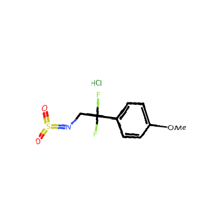 COc1ccc(C(F)(F)CN=S(=O)=O)cc1.Cl